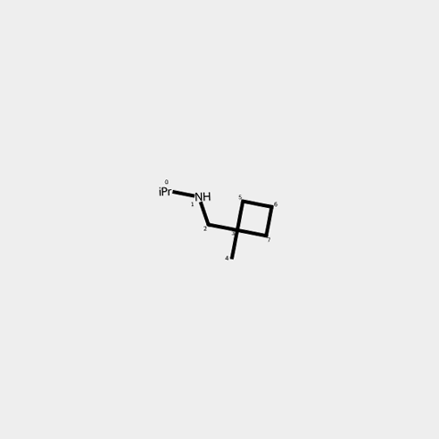 CC(C)NCC1(C)CCC1